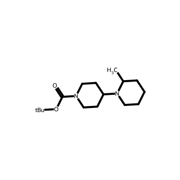 CC1CCCCN1C1CCN(C(=O)OC(C)(C)C)CC1